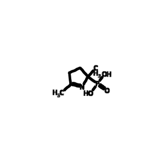 CC1=NC(C)(P(=O)(O)O)CC1